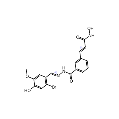 COc1cc(/C=N/NC(=O)c2cccc(/C=C/C(=O)NO)c2)c(Br)cc1O